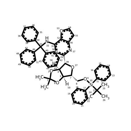 CC1(C)O[C@@H]2[C@H](O1)[C@@H](CO[Si](c1ccccc1)(c1ccccc1)C(C)(C)C)O[C@H]2c1nc(NC(c2ccccc2)(c2ccccc2)c2ccccc2)c2occc2n1